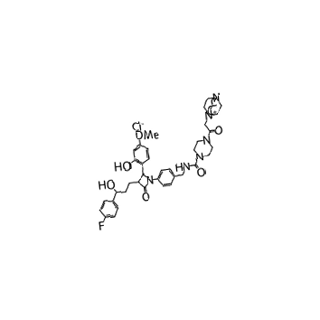 COc1ccc(C2C(CCC(O)c3ccc(F)cc3)C(=O)N2c2ccc(CNC(=O)N3CCN(C(=O)C[N+]45CCN(CC4)CC5)CC3)cc2)c(O)c1.[Cl-]